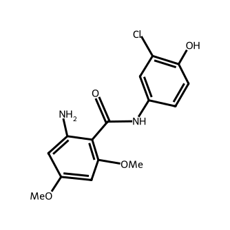 COc1cc(N)c(C(=O)Nc2ccc(O)c(Cl)c2)c(OC)c1